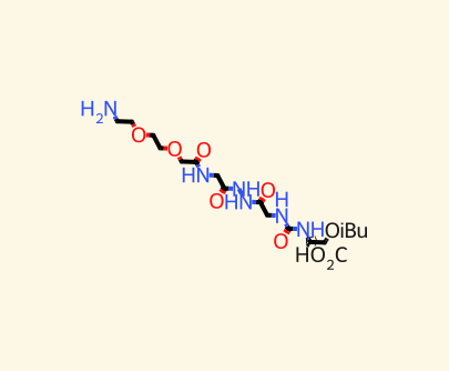 CC(C)COC[C@H](NC(=O)NCC(=O)NNC(=O)CNC(=O)COCCOCCN)C(=O)O